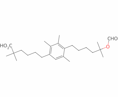 Cc1cc(CCCCC(C)(C)C(=O)O)c(C)c(C)c1CCCCC(C)(C)OC=O